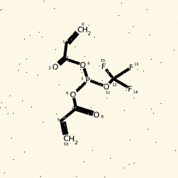 C=CC(=O)OP(OC(=O)C=C)OC(F)(F)F